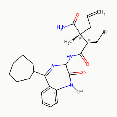 C=CC[C@@](C)(C(N)=O)[C@@H](CC(C)C)C(=O)NC1N=C(C2CCCCCC2)c2ccccc2N(C)C1=O